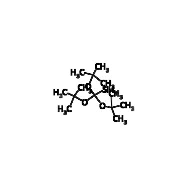 CC(C)(C)OC([SiH3])(OC(C)(C)C)OC(C)(C)C